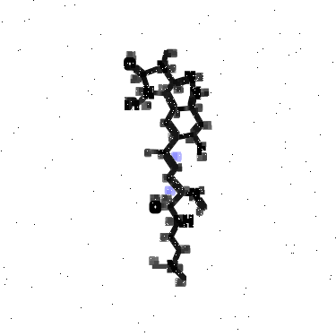 C=N/C(=C\C=C(/C)c1cc2c(cc1F)nnc1c2n(C(C)C)c(=O)n1C)C(=O)NCCN(C)C